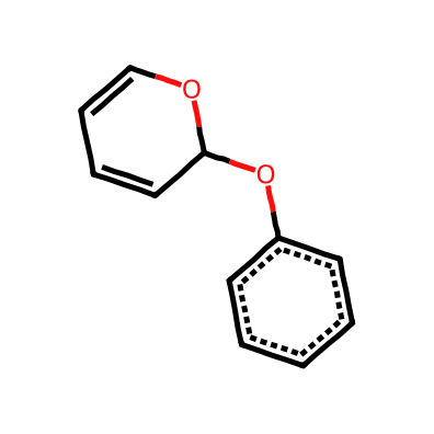 C1=COC(Oc2ccccc2)C=C1